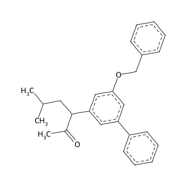 CC(=O)C(CC(C)C)c1cc(OCc2ccccc2)cc(-c2ccccc2)c1